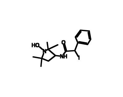 CC1(C)CC(NC(=O)C(I)c2ccccc2)C(C)(C)N1O